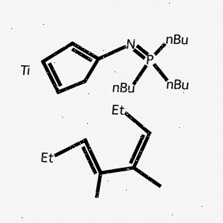 CCC=C(C)C(C)=CCC.CCCCP(CCCC)(CCCC)=NC1=CC=CC1.[Ti]